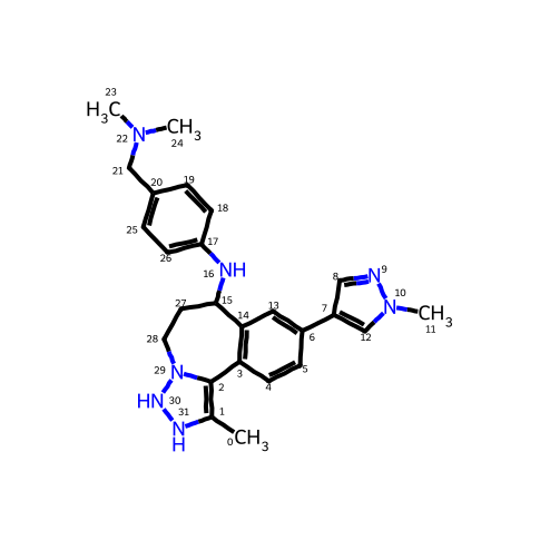 CC1=C2c3ccc(-c4cnn(C)c4)cc3C(Nc3ccc(CN(C)C)cc3)CCN2NN1